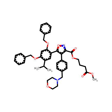 COC(=O)CCCOC(=O)c1noc(-c2cc(C(C)C)c(OCc3ccccc3)cc2OCc2ccccc2)c1-c1ccc(CN2CCOCC2)cc1